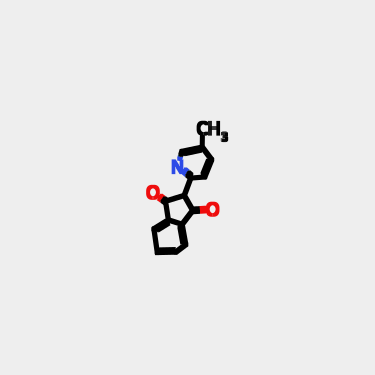 Cc1ccc(C2C(=O)c3ccccc3C2=O)nc1